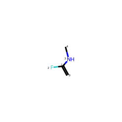 C=C(F)NC